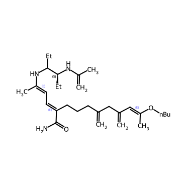 C=C(/C=C(\C)OCCCC)CC(=C)CCC/C(=C\C=C(/C)NC(CC)[C@H](CC)NC(=C)C)C(N)=O